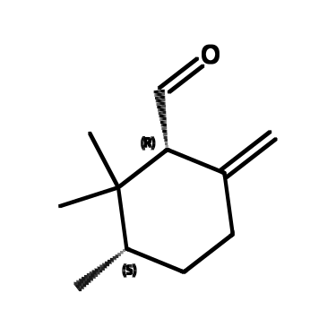 C=C1CC[C@H](C)C(C)(C)[C@@H]1C=O